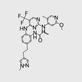 C=CC(=O)Nc1cc(CCc2cnn(C)c2)ccc1Nc1nc(Nc2cc(OC)ncc2C)ncc1C(F)(F)F